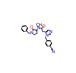 CN(C(=O)Cc1cncn1Cc1ccc(C#N)cc1)[C@@H]1CCN(Cc2ccccc2)C1=O